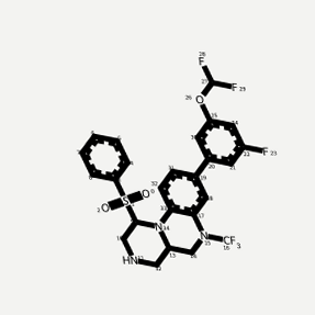 O=S(=O)(c1ccccc1)C1CNCC2CN(C(F)(F)F)c3cc(-c4cc(F)cc(OC(F)F)c4)ccc3N21